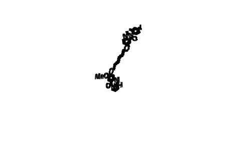 COc1cc2c(cc1OCCCCCCOc1ccc3nc(C)n(-c4ccc(I)cc4C)c(=O)c3c1)N=C[C@@H]1CCCN1C2=O